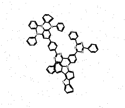 c1ccc(-c2cc(-c3cc(-c4nc(-c5ccccc5)nc(-c5ccccc5)n4)ccc3-n3c4ccccc4c4c5sc6ccccc6c5ccc43)nc(-c3ccc(-c4cc5c6c(c4)N(c4ccccc4)c4ccccc4B6c4ccccc4N5c4ccccc4)cc3)n2)cc1